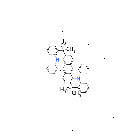 CC1(C)c2ccccc2N(c2ccccc2)c2c1ccc1cc3c4c(ccc3cc21)C(C)(C)c1ccccc1N4c1ccccc1